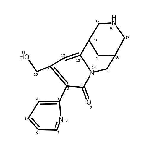 O=c1c(-c2ccccn2)c(CO)cc2n1CC1CNCC2C1